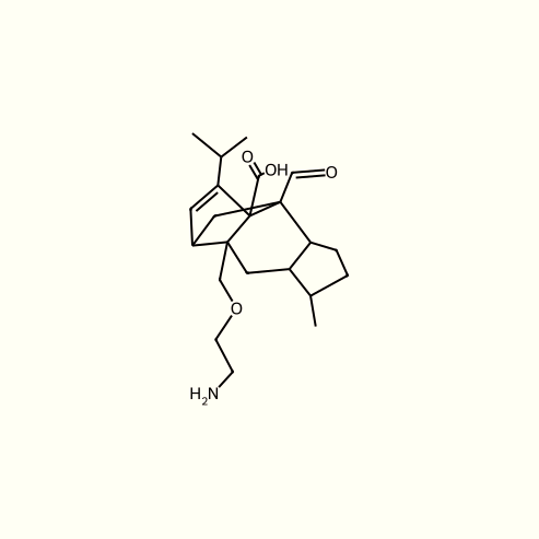 CC(C)C1=CC2CC3(C=O)C4CCC(C)C4CC2(COCCN)C13C(=O)O